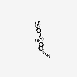 CN(C)CCN(C)c1ccc2cc(NC(=O)C=Cc3ccc(OC(F)(F)F)cc3)ccc2n1